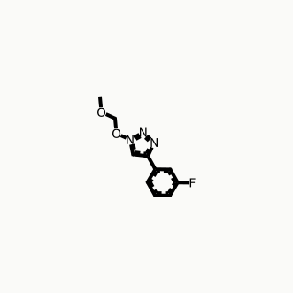 COCOn1cc(-c2cccc(F)c2)nn1